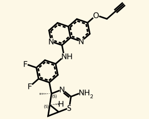 C#CCOc1cnc2c(Nc3cc(F)c(F)c([C@@]4(C)N=C(N)SC5C[C@H]54)c3)nccc2c1